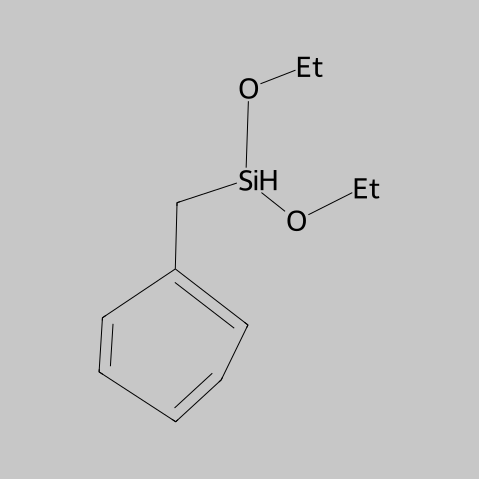 CCO[SiH](Cc1ccccc1)OCC